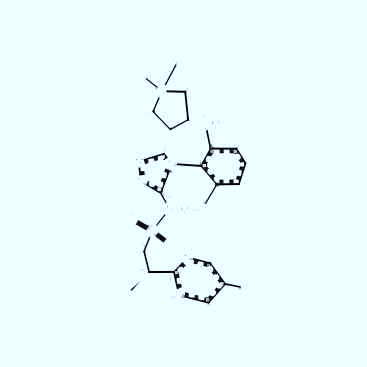 COc1cccc(OC)c1-n1c(NS(=O)(=O)[C@@H](C)[C@H](C)c2ncc(C)cn2)nnc1[C@H]1CCS(C)(C)C1